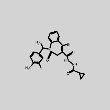 Cc1ccc(C(C)N2C(=O)CC(C(=O)NNC(=O)C3CC3)=C(Br)c3ccccc32)cc1F